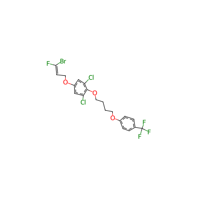 FC(Br)=CCOc1cc(Cl)c(OCCCCOc2ccc(C(F)(F)F)cc2)c(Cl)c1